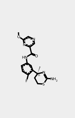 COc1cncc(C(=O)Nc2ccc(F)c([C@]3(C)CCSC(N)=N3)c2)n1